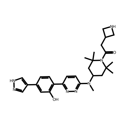 CN(c1ccc(-c2ccc(-c3cn[nH]c3)cc2O)nn1)C1CC(C)(C)N(C(=O)CC2CNC2)C(C)(C)C1